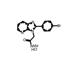 CNC(=O)Cn1c(-c2ccc(Br)cc2)nc2cccnc21.Cl